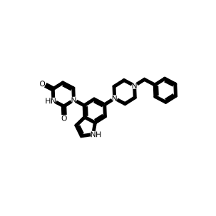 O=c1ccn(-c2cc(N3CCN(Cc4ccccc4)CC3)cc3[nH]ccc23)c(=O)[nH]1